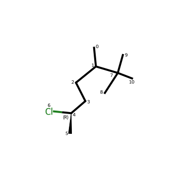 CC(CC[C@@H](C)Cl)C(C)(C)C